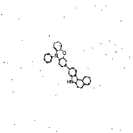 C1=C2Oc3cc(-c4ccc5c(c4)[nH]c4ccc6ccccc6c45)ccc3N(c3ccccc3)C2=CCC1